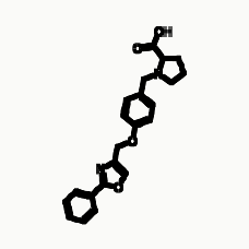 O=C(O)C1CCCN1Cc1ccc(OCc2coc(-c3ccccc3)n2)cc1